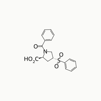 O=C(O)[C@@H]1C[C@@H](S(=O)(=O)c2ccccc2)CN1C(=O)c1ccccc1